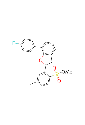 COS(=O)(=O)c1ccc(C)cc1C1Cc2cccc(-c3ccc(F)cc3)c2O1